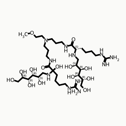 COCCN(CCCNC(=O)[C@H](CCCCNC(=N)N)NC[C@H](O)[C@@H](O)[C@H](O)[C@H](O)CO)CCCNC(=O)C(O)(CCCCNC(=N)N)NC[C@H](O)[C@@H](O)[C@H](O)[C@H](O)CO